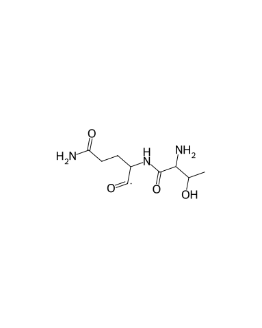 CC(O)C(N)C(=O)NC([C]=O)CCC(N)=O